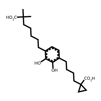 CC(C)(CCCCCc1ccc(CCCCC2(C(=O)O)CC2)c(O)c1O)C(=O)O